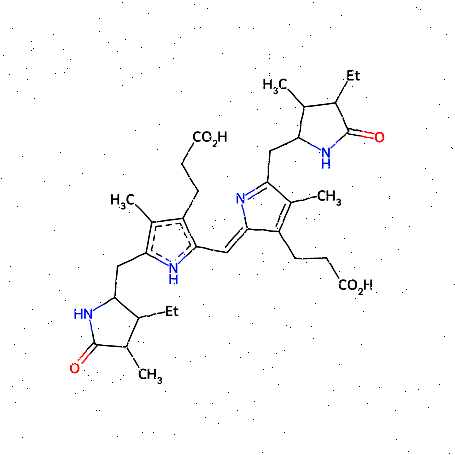 CCC1C(=O)NC(CC2=NC(=Cc3[nH]c(CC4NC(=O)C(C)C4CC)c(C)c3CCC(=O)O)C(CCC(=O)O)=C2C)C1C